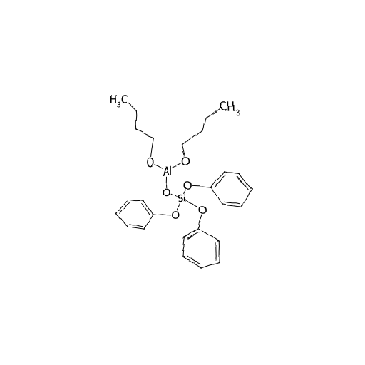 CCCC[O][Al]([O]CCCC)[O][Si](Oc1ccccc1)(Oc1ccccc1)Oc1ccccc1